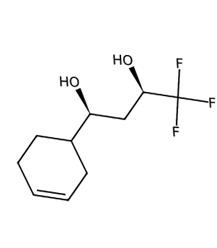 O[C@H](C[C@H](O)C1CC=CCC1)C(F)(F)F